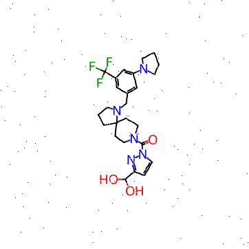 O=C(N1CCC2(CCCN2Cc2cc(N3CCCC3)cc(C(F)(F)F)c2)CC1)n1ccc(C(O)O)n1